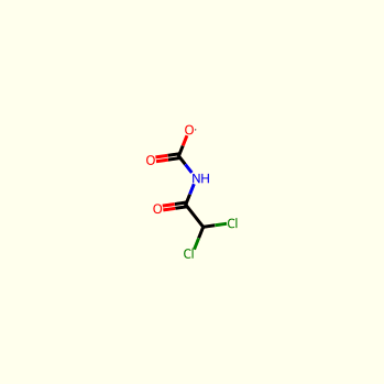 [O]C(=O)NC(=O)C(Cl)Cl